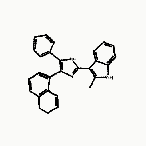 Cc1[nH]c2ccccc2c1-c1nc(-c2cccc3c2C=CCC3)c(-c2ccccc2)[nH]1